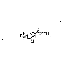 CCOC(=O)c1cn2c(n1)C(Cl)=CN(C(F)(F)F)C2